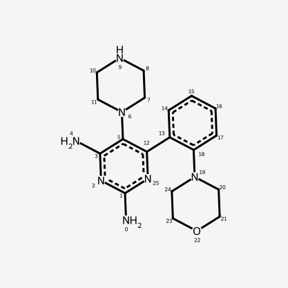 Nc1nc(N)c(N2CCNCC2)c(-c2ccccc2N2CCOCC2)n1